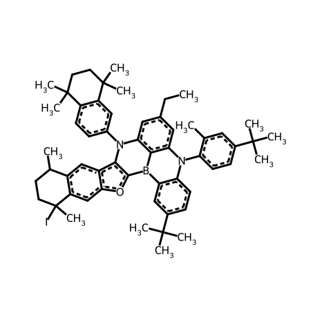 CCc1cc2c3c(c1)N(c1ccc4c(c1)C(C)(C)CCC4(C)C)c1c(oc4cc5c(cc14)C(C)CCC5(C)I)B3c1cc(C(C)(C)C)ccc1N2c1ccc(C(C)(C)C)cc1C